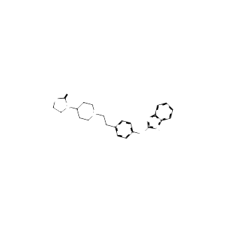 O=C1OCCN1C1CCN(CCc2ccc(Oc3nc4ccccc4s3)cc2)CC1